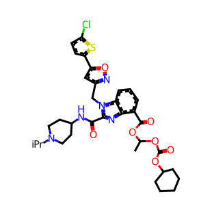 CC(OC(=O)OC1CCCCC1)OC(=O)c1cccc2c1nc(C(=O)NC1CCN(C(C)C)CC1)n2Cc1cc(-c2ccc(Cl)s2)on1